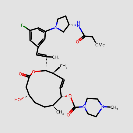 COCC(=O)N[C@H]1CCN(c2cc(F)cc(/C=C(\C)[C@H]3OC(=O)C[C@@H](O)CC[C@@H](C)[C@@H](OC(=O)N4CCN(C)CC4)/C=C/[C@@H]3C)c2)C1